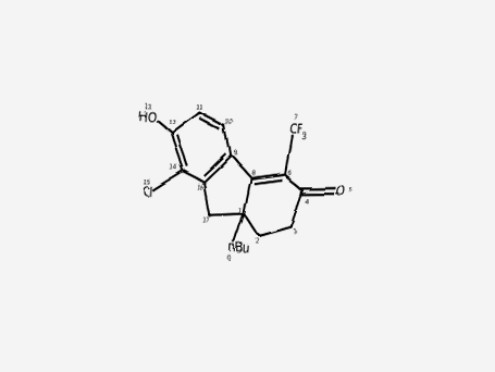 CCCCC12CCC(=O)C(C(F)(F)F)=C1c1ccc(O)c(Cl)c1C2